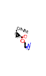 COC[C@@H]1C[C@H]1C(=O)OCCN(C)C